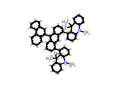 CN1c2ccccc2C(C)(C)c2c(-c3cccc4c(-c5cc6ccccc6c6ccccc56)c5cccc(-c6cccc7c6C(C)(C)c6ccccc6N7C)c5cc34)cccc21